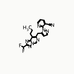 CCCc1c(Cc2ccnn2-c2ncccc2C#N)ncn2nc(C(F)F)nc12